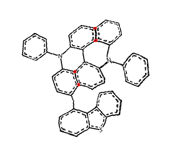 c1ccc(N(c2ccccc2)c2ccccc2-c2ccccc2N(c2ccccc2)c2ccc(-c3cccc4sc5ccccc5c34)cc2)cc1